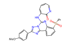 COc1ccc(-c2nc3c4cccc(S(=O)(=O)C(C)C)c4nc(Nc4ccccnc4=O)n3n2)cc1